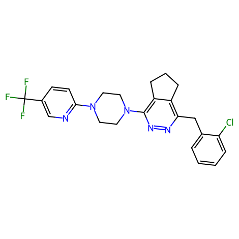 FC(F)(F)c1ccc(N2CCN(c3nnc(Cc4ccccc4Cl)c4c3CCC4)CC2)nc1